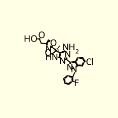 C[C@]1(c2nc(CC(=O)O)co2)C(=O)Nc2nc(-c3nn(Cc4ccccc4F)c4cc(Cl)ccc34)nc(N)c21